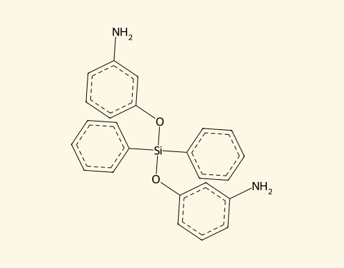 Nc1cccc(O[Si](Oc2cccc(N)c2)(c2ccccc2)c2ccccc2)c1